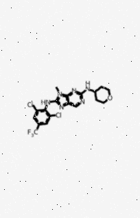 Cn1c(Nc2c(Cl)cc(C(F)(F)F)cc2Cl)nc2cnc(NC3CCOCC3)nc21